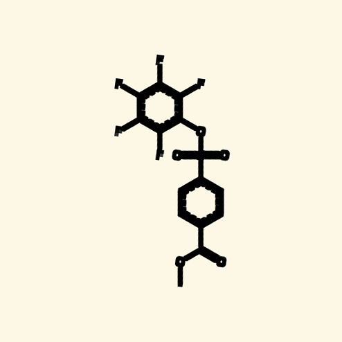 COC(=O)c1ccc(S(=O)(=O)Oc2c(F)c(F)c(F)c(F)c2F)cc1